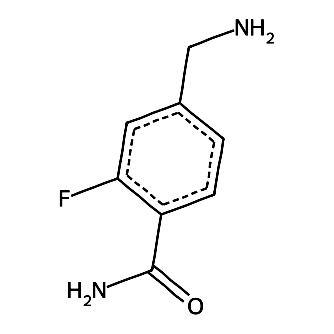 NCc1ccc(C(N)=O)c(F)c1